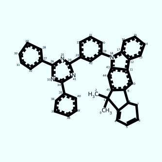 CC1(C)C2=CC=CCC2c2cc3c4ccccc4n(-c4cccc(-c5nc(-c6ccccc6)nc(-c6ccccc6)n5)c4)c3cc21